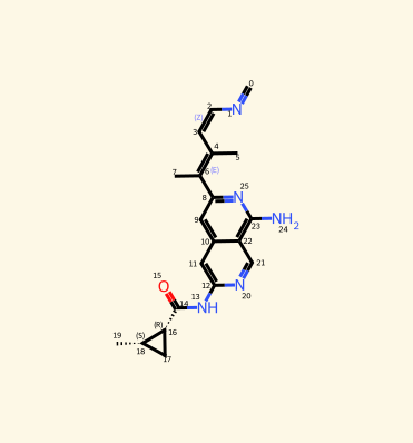 C=N/C=C\C(C)=C(/C)c1cc2cc(NC(=O)[C@@H]3C[C@@H]3C)ncc2c(N)n1